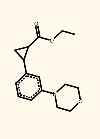 CCOC(=O)C1CC1c1cccc(N2CCOCC2)c1